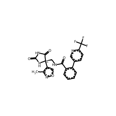 Cc1nocc1[C@]1(CNC(=O)c2ccccc2-c2ccc(C(F)(F)F)nc2)NC(=O)NC1=O